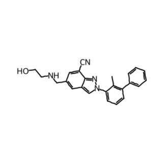 Cc1c(-c2ccccc2)cccc1-n1cc2cc(CNCCO)cc(C#N)c2n1